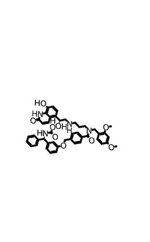 COc1ccc(CN(CCCNC[C@H](O)c2ccc(O)c3[nH]c(=O)ccc23)C(=O)c2ccc(COc3cccc([C@@H](NC(=O)O)c4ccccc4)c3)cc2)c(OC)c1